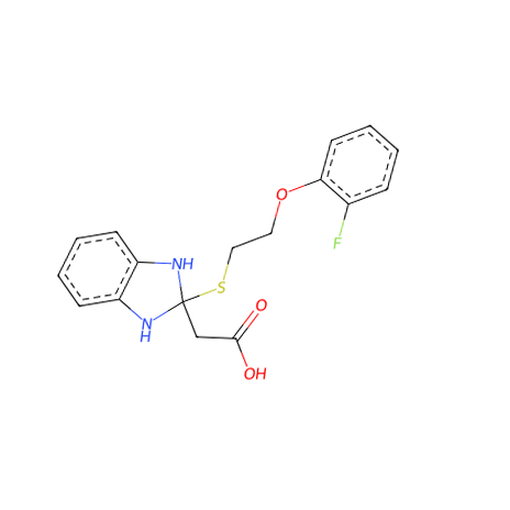 O=C(O)CC1(SCCOc2ccccc2F)Nc2ccccc2N1